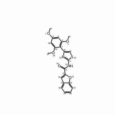 COc1cc(OC)c(-c2csc(NC(=O)c3cc4ccccc4o3)n2)c(OC)c1